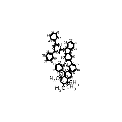 CC1CC(C)(C)c2c(-c3ccccc3-n3c4ccccc4c4cc5c6ccccc6n(-c6nc(-c7ccccc7)nc(-c7ccccc7)n6)c5cc43)cccc2C1(C)C